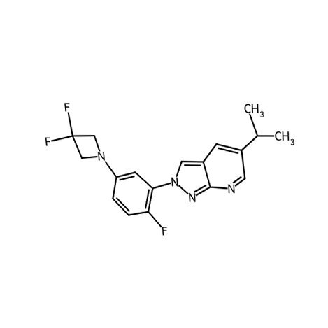 CC(C)c1cnc2nn(-c3cc(N4CC(F)(F)C4)ccc3F)cc2c1